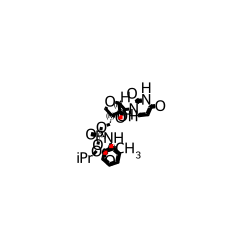 CC(C)OC(=O)[C@@H](C)N[P@](=O)(OC[C@@]12CO[C@@H](C(n3ccc(=O)[nH]c3=O)O1)[C@@H]2O)Oc1ccccc1